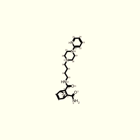 NC(=O)C1C2C=CC(O2)C1C(=O)NCCCCN1CCN(c2ccccn2)CC1